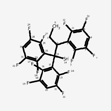 CCC(c1c(F)c(F)cc(F)c1F)[C]([Sn])(c1c(F)c(F)cc(F)c1F)c1c(F)c(F)cc(F)c1F